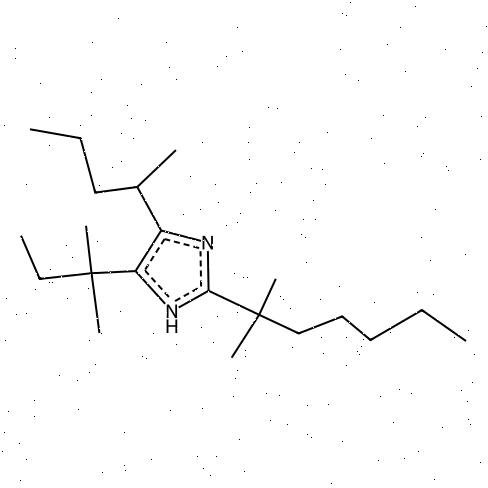 CCCCCC(C)(C)c1nc(C(C)CCC)c(C(C)(C)CC)[nH]1